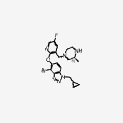 C[C@H]1CN(Cc2cc(F)cnc2Oc2ccc3c(nnn3CC3CC3)c2Br)CCN1